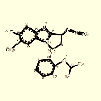 [N-]=[N+]=NC1C[C@H](c2ccccc2OC(F)F)n2c1nc1cc(F)c(Br)cc12